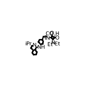 CCN(CC)c1c(N[C@@H](Cc2ccc(Nc3nc(C(C)C)cc4ccccc34)cc2)C(=O)O)c(=O)c1=O